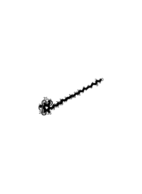 CCCCCCCCCCCCCCC=CC=CC=CC=CC=Cc1c(C)c(OC)c(OC)c(OC)c1OC